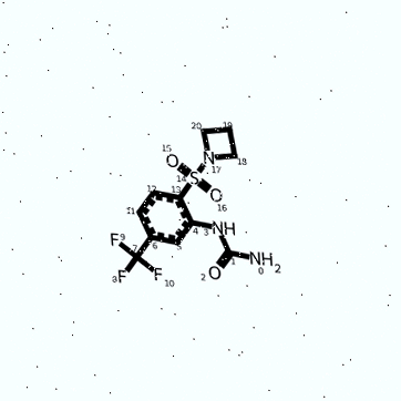 NC(=O)Nc1cc(C(F)(F)F)ccc1S(=O)(=O)N1CCC1